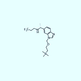 C[C@@H](NCCC(F)(F)F)c1ccc2ncn(COCC[Si](C)(C)C)c2c1